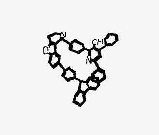 Cc1c(-c2ccccc2)cc(-c2ccccc2)nc1-c1ccc(-c2nccc3oc4ccc(-c5ccc(C6c7ccccc7-c7ccccc76)cc5)cc4c23)cc1